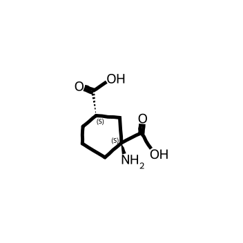 N[C@@]1(C(=O)O)CCC[C@H](C(=O)O)C1